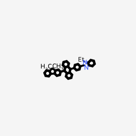 CCn1c(-c2ccc(-c3c4ccccc4c(-c4ccc5c(c4)C(C)(C)c4ccccc4-5)c4ccccc34)cc2)nc2ccccc21